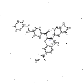 CN(C)c1cccc(C/C(C(=O)c2ccc(OCc3ccccc3)cc2)=C(\C(=O)[O-])c2ccc3nsnc3c2)c1.[Na+]